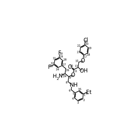 CCc1cccc(CNCC(OC(=O)C(O)COc2ccc(Cl)cc2)C(N)Cc2cc(F)cc(F)c2)c1